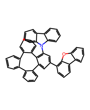 c1ccc2c(c1)-c1ccccc1-c1cc(-c3cccc4c3oc3ccccc34)cc(-n3c4ccccc4c4ccccc43)c1-c1ccccc1-2